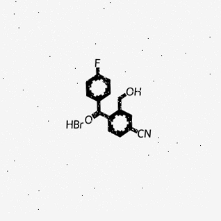 Br.N#Cc1ccc(C(=O)c2ccc(F)cc2)c(CO)c1